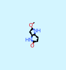 COc1cc2[nH]c(=O)ccc2[nH]1